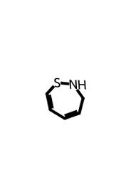 C1=CCNSC=C1